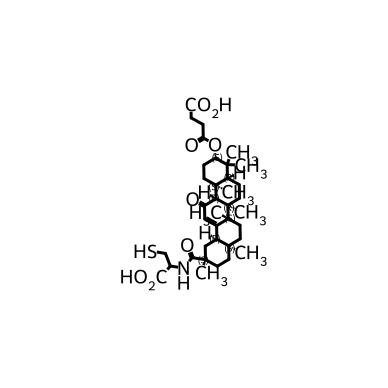 CC1(C)[C@@H](OC(=O)CCC(=O)O)CC[C@]2(C)[C@H]3C(=O)C=C4[C@@H]5C[C@@](C)(C(=O)NC(CS)C(=O)O)CC[C@]5(C)CC[C@@]4(C)[C@]3(C)CC[C@@H]12